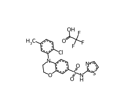 Cc1ccc(Cl)c(N2CCOc3cc(S(=O)(=O)Nc4nccs4)ccc32)c1.O=C(O)C(F)(F)F